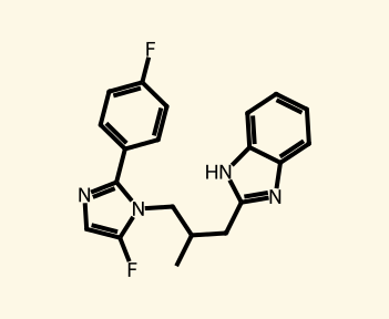 CC(Cc1nc2ccccc2[nH]1)Cn1c(F)cnc1-c1ccc(F)cc1